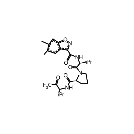 Cc1cc2onc(C(=O)N[C@H](C(=O)N3CCC[C@H]3C(=O)N[C@H](C(=O)C(F)(F)F)C(C)C)C(C)C)c2cc1C